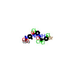 Cc1cc(N(C)C(=O)OC(C)(C)C)ccc1NC(=O)c1cc(NC(=O)[C@H]2[C@H](c3ccc(Br)c(Cl)c3)C2(Cl)Cl)ccc1Cl